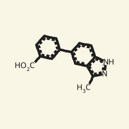 Cc1n[nH]c2ccc(-c3cccc(C(=O)O)c3)cc12